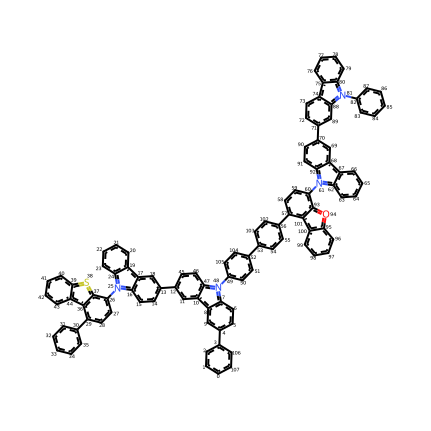 c1ccc(-c2ccc3c(c2)c2cc(-c4ccc5c(c4)c4ccccc4n5-c4ccc(-c5ccccc5)c5c4sc4ccccc45)ccc2n3-c2ccc(-c3ccc(-c4ccc(-n5c6ccccc6c6cc(-c7ccc8c9ccccc9n(-c9ccccc9)c8c7)ccc65)c5oc6ccccc6c45)cc3)cc2)cc1